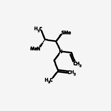 C=CN(CC(=C)C)C(SC)[C@@H](C)NC